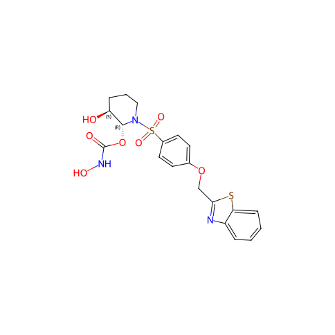 O=C(NO)O[C@@H]1[C@@H](O)CCCN1S(=O)(=O)c1ccc(OCc2nc3ccccc3s2)cc1